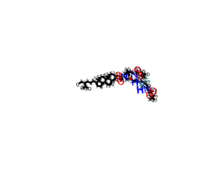 CCC(CCCC1CCC2C3CC=C4CC(OC(=O)N(CCCCNCC(F)(F)CNC(=O)OC(C)(C)C)CC(C)(C)CNC(=O)OC(C)(C)C)CCC4(C)C3CCC12C)C(C)C